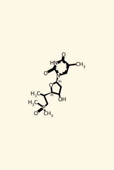 Cc1cn([C@H]2CC(O)[C@@H](C(C)CP(C)(C)=O)O2)c(=O)[nH]c1=O